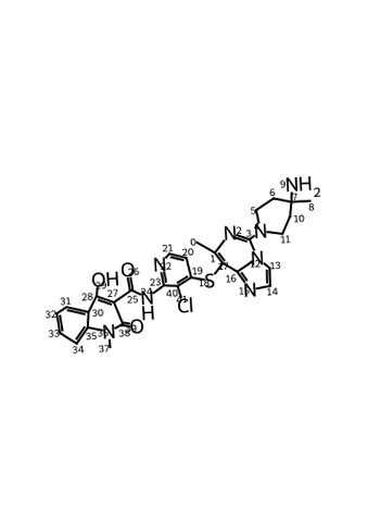 Cc1nc(N2CCC(C)(N)CC2)n2ccnc2c1Sc1ccnc(NC(=O)c2c(O)c3ccccc3n(C)c2=O)c1Cl